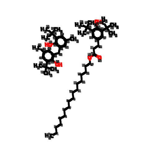 CCCCCCCCCCCCCCCCCCOC(=O)CCc1cc(C(C)(C)C)c(O)c(C(C)(C)C)c1.Cc1cc(Cc2cc(C)cc(C(C)(C)C)c2O)c(O)c(C(C)(C)C)c1